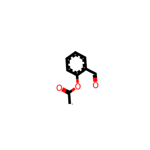 [CH2]C(=O)Oc1ccccc1C=O